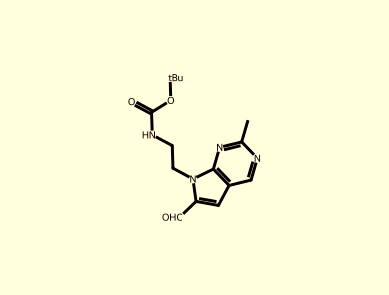 Cc1ncc2cc(C=O)n(CCNC(=O)OC(C)(C)C)c2n1